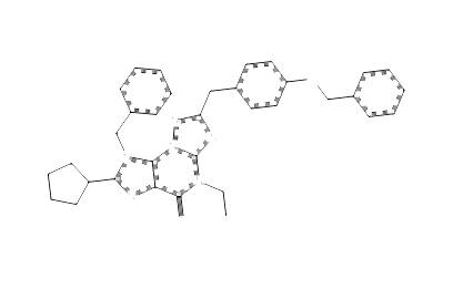 CCn1c(=O)c2nc(C3CCCC3)n(Cc3ccccc3)c2n2nc(Cc3ccc(OCc4ccccc4)cc3)nc12